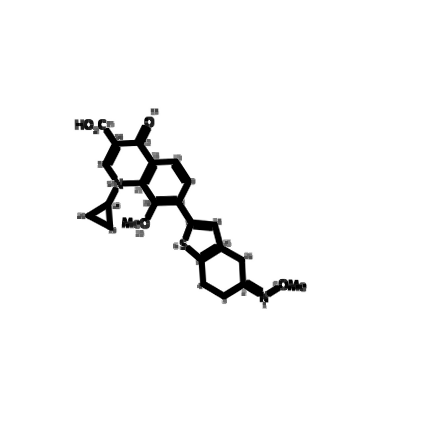 CO/N=C1/CCc2sc(-c3ccc4c(=O)c(C(=O)O)cn(C5CC5)c4c3OC)cc2C1